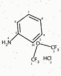 Cl.FC(F)(F)OC(F)(F)F.Nc1ccccc1